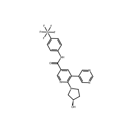 O=C(Nc1ccc(S(F)(F)(F)(F)F)cc1)c1cnc(N2CC[C@@H](O)C2)c(-c2cncnc2)c1